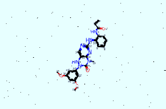 C=CC(=O)Nc1ccccc1Nc1ncc2c(n1)N(C)C(=O)N(c1cc(OC)cc(OC)c1)N2